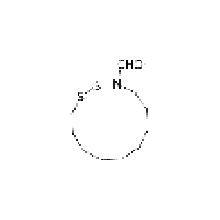 O=[C]N1CCCCCCCCCSS1